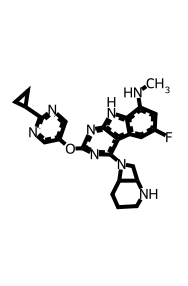 CNc1cc(F)cc2c1[nH]c1nc(Oc3cnc(C4CC4)nc3)nc(N3CC4NCCCC43)c12